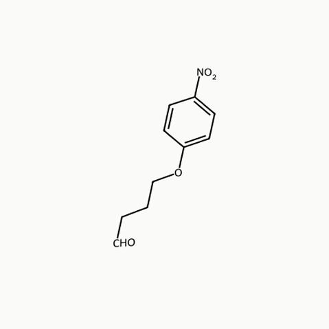 O=CCCCOc1ccc([N+](=O)[O-])cc1